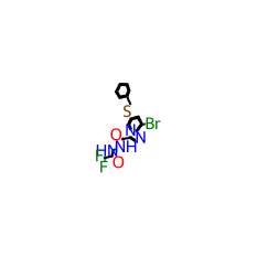 O=C(NNC(=O)C(F)F)c1cnc2c(Br)cc(SCc3ccccc3)cn12